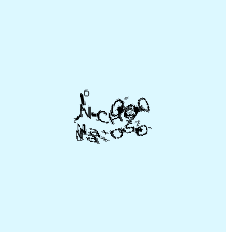 CN(C)C=O.O=S([O-])S(=O)[O-].[Na+].[Na+]